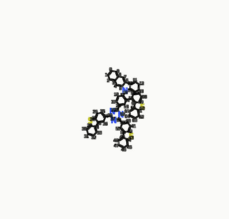 c1ccc2cc3c(cc2c1)c1ccccc1n3-c1ccc(-c2nc(-c3ccc4sc5ccccc5c4c3)nc(-c3ccc4sc5ccccc5c4c3)n2)cc1-c1cccc2sc3ccccc3c12